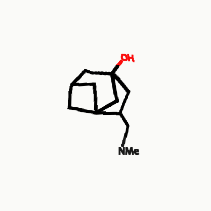 CNCC1CC2(O)CC3CC1(C3)C2